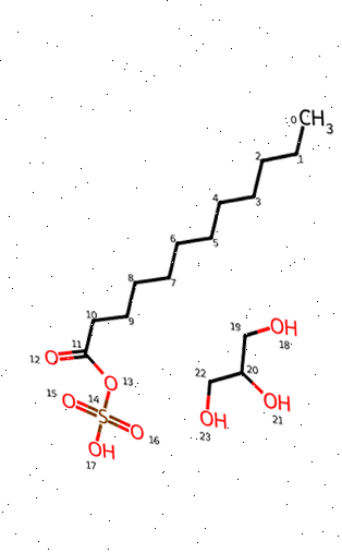 CCCCCCCCCCCC(=O)OS(=O)(=O)O.OCC(O)CO